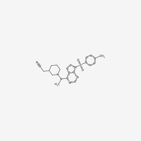 Cc1ccc(S(=O)(=O)n2ccc3c(N(C)N4CCCC(CC#N)C4)ncnc32)cc1